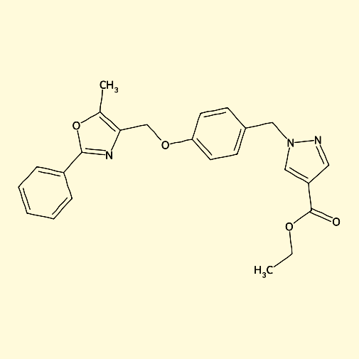 CCOC(=O)c1cnn(Cc2ccc(OCc3nc(-c4ccccc4)oc3C)cc2)c1